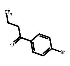 O=C(CCC(F)(F)F)c1ccc(Br)cc1